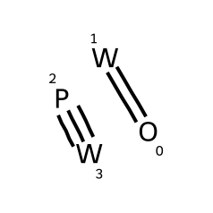 [O]=[W].[P]#[W]